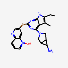 CCc1[nH]c2nc(Sc3cnc4ccc[n+](O)c4c3)nc(N3CC4C(N)C4C3)c2c1C